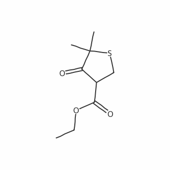 CCOC(=O)C1CSC(C)(C)C1=O